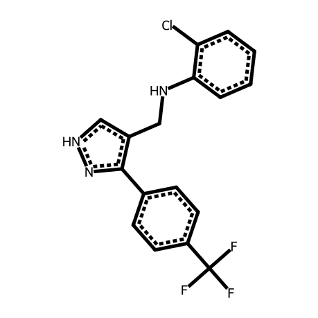 FC(F)(F)c1ccc(-c2n[nH]cc2CNc2ccccc2Cl)cc1